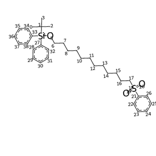 CC(C)(C)[Si](OCCCCCCCCCCCCS(=O)(=O)c1ccccc1)(c1ccccc1)c1ccccc1